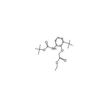 CCOC(=O)COc1c(NC(=O)OC(C)(C)C)ccnc1C(C)(C)C